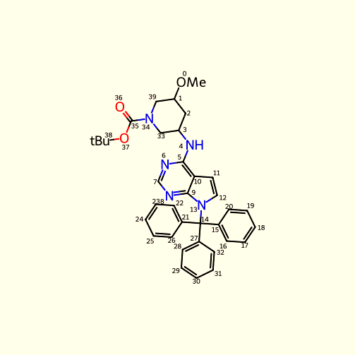 COC1CC(Nc2ncnc3c2ccn3C(c2ccccc2)(c2ccccc2)c2ccccc2)CN(C(=O)OC(C)(C)C)C1